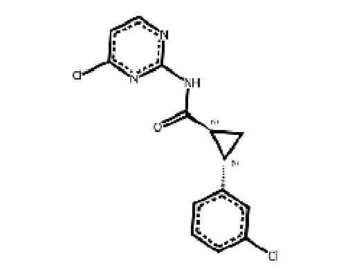 O=C(Nc1nccc(Cl)n1)[C@H]1C[C@@H]1c1cccc(Cl)c1